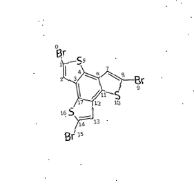 Brc1cc2c(s1)c1cc(Br)sc1c1cc(Br)sc21